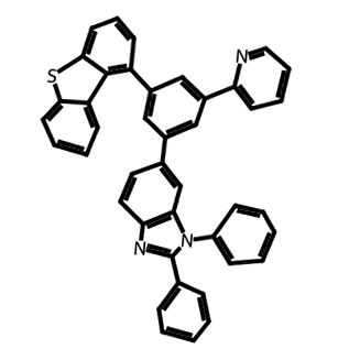 c1ccc(-c2nc3ccc(-c4cc(-c5ccccn5)cc(-c5cccc6sc7ccccc7c56)c4)cc3n2-c2ccccc2)cc1